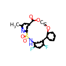 Cc1cc2cc(n1)S(=O)(=O)Nc1cc(c(F)cc1F)-c1ccccc1OCCOC2=O